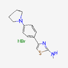 Br.CNc1nc(-c2ccc(N3CCCC3)cc2)cs1